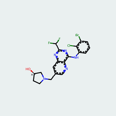 O[C@@H]1CCN(Cc2cnc3c(Nc4cccc(Br)c4Cl)nc(C(F)F)nc3c2)C1